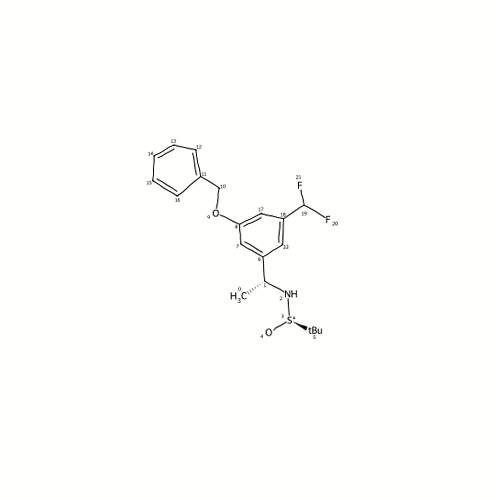 C[C@@H](N[S@+]([O-])C(C)(C)C)c1cc(OCc2ccccc2)cc(C(F)F)c1